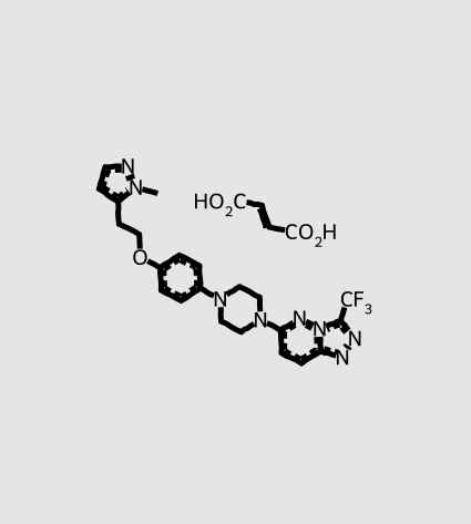 Cn1nccc1CCOc1ccc(N2CCN(c3ccc4nnc(C(F)(F)F)n4n3)CC2)cc1.O=C(O)/C=C/C(=O)O